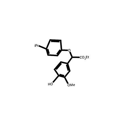 CCOC(=O)C(Oc1ccc(C(C)C)cc1)c1ccc(O)c(OC)c1